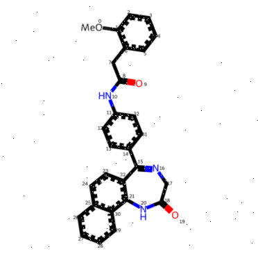 COc1ccccc1CC(=O)Nc1ccc(C2=NCC(=O)Nc3c2ccc2ccccc32)cc1